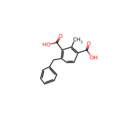 Cc1c(C(=O)O)ccc(Cc2ccccc2)c1C(=O)O